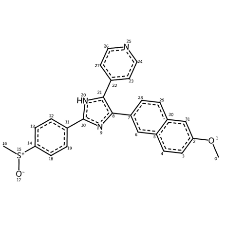 COc1ccc2cc(-c3nc(-c4ccc([S+](C)[O-])cc4)[nH]c3-c3ccncc3)ccc2c1